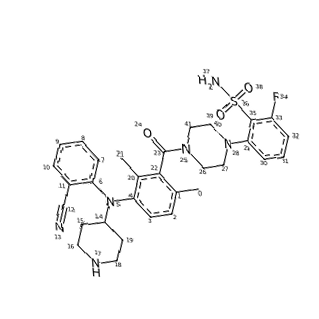 Cc1ccc(N(c2ccccc2C#N)C2CCNCC2)c(C)c1C(=O)N1CCN(c2cccc(F)c2S(N)(=O)=O)CC1